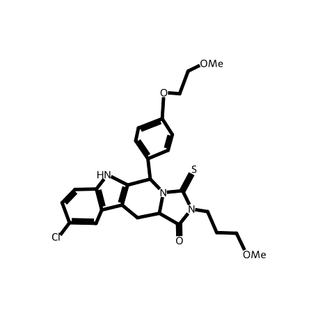 COCCCN1C(=O)C2Cc3c([nH]c4ccc(Cl)cc34)C(c3ccc(OCCOC)cc3)N2C1=S